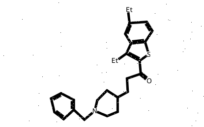 CCc1ccc2sc(C(=O)CCC3CCN(Cc4ccccc4)CC3)c(CC)c2c1